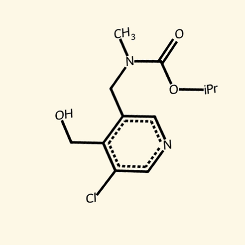 CC(C)OC(=O)N(C)Cc1cncc(Cl)c1CO